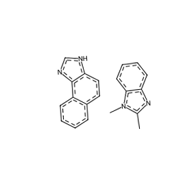 Cc1nc2ccccc2n1C.c1ccc2c(c1)ccc1[nH]cnc12